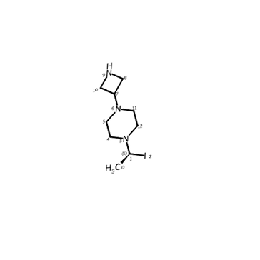 C[C@H](I)N1CCN(C2CNC2)CC1